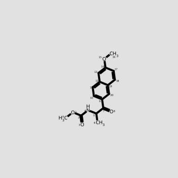 COC(=O)NC(C)C(=O)c1ccc2cc(OC)ccc2c1